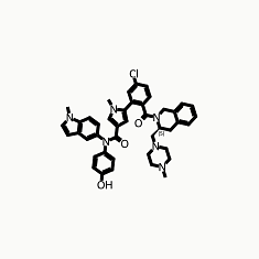 CN1CCN(C[C@@H]2Cc3ccccc3CN2C(=O)c2ccc(Cl)cc2-c2cc(C(=O)N(c3ccc(O)cc3)c3ccc4c(ccn4C)c3)cn2C)CC1